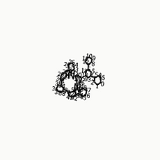 c1ccc(-c2cc(-c3ccccc3)cc(-c3cc4cc(c3)n3c5ccccc5c5ccc(cc53)c3ccccc3c3ccc5c6ccccc6n4c5c3)c2)cc1